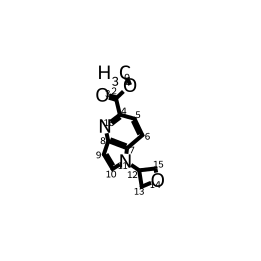 COC(=O)c1ccc2c(ccn2C2COC2)n1